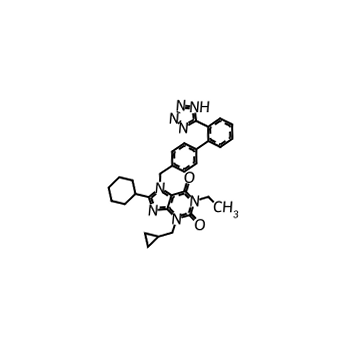 CCn1c(=O)c2c(nc(C3CCCCC3)n2Cc2ccc(-c3ccccc3-c3nnn[nH]3)cc2)n(CC2CC2)c1=O